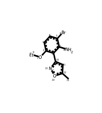 CCOc1ccc(Br)c(N)c1-c1cc(C)on1